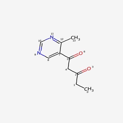 CCC(=O)CC(=O)c1cncnc1C